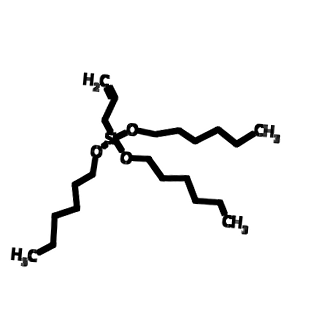 C=CC[Si](OCCCCCC)(OCCCCCC)OCCCCCC